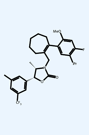 COc1cc(F)c(C(C)C)cc1C1=C(CN2C(=O)O[C@H](c3cc(C)cc(C(F)(F)F)c3)[C@@H]2C)CCCCC1